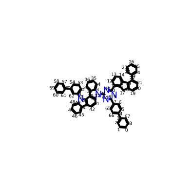 c1ccc(-c2ccc(-c3nc(-c4cccc5c4Cc4cccc(-c6ccccc6)c4-5)nc(-n4c5ccccc5c5c4ccc4c6ccccc6n(-c6cccc(-c7ccccc7)c6)c45)n3)cc2)cc1